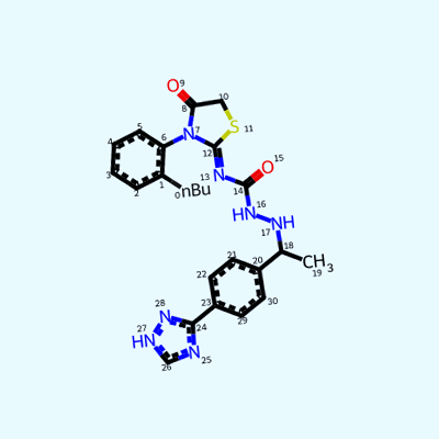 CCCCc1ccccc1N1C(=O)CS/C1=N\C(=O)NNC(C)c1ccc(-c2nc[nH]n2)cc1